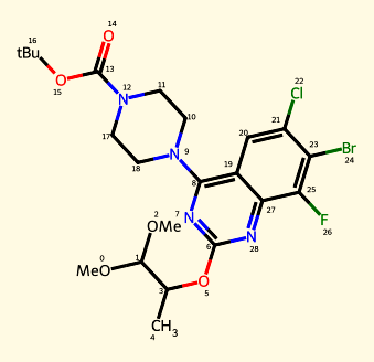 COC(OC)C(C)Oc1nc(N2CCN(C(=O)OC(C)(C)C)CC2)c2cc(Cl)c(Br)c(F)c2n1